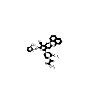 C=C(F)C(=O)N1CCN(c2nc(OC[C@@H]3CCCN3C)c(C#N)c3c2CCN(c2cccc4cccc(Cl)c24)C3)C[C@H]1C